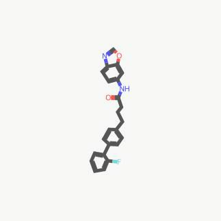 O=C(CCCc1ccc(-c2ccccc2F)cc1)Nc1ccc2ncoc2c1